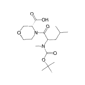 CC(C)CC(C(=O)N1CCOC[C@@H]1C(=O)O)N(C)C(=O)OC(C)(C)C